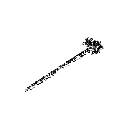 C=C=C=C=C=C=C=C=C=C=C=C=C=C=C=C=C=C=C=C=C=C=C=C=C=C=C=C=C=C=C=C=C=C=C=C(N(C(=O)C=C)C1CC(=O)N(C=C)C1=O)N(C(=O)C=C)C1CC(=O)N(C=C)C1=O